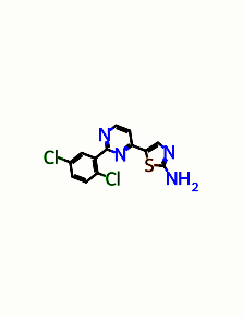 Nc1ncc(-c2ccnc(-c3cc(Cl)ccc3Cl)n2)s1